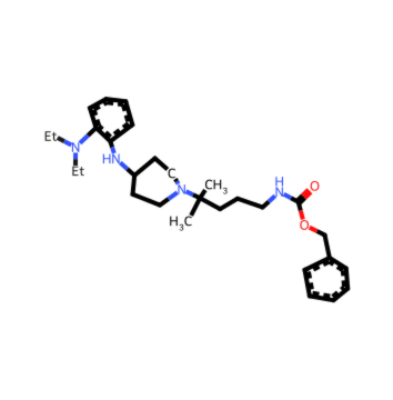 CCN(CC)c1ccccc1NC1CCN(C(C)(C)CCCNC(=O)OCc2ccccc2)CC1